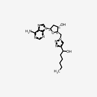 CCCCCC(O)c1cn(C[C@H]2O[C@@H](n3cnc4c(N)ncnc43)C[C@@H]2O)nn1